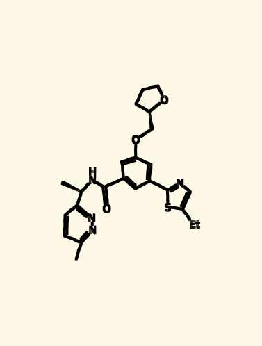 CCc1cnc(-c2cc(OC[C@H]3CCCO3)cc(C(=O)N[C@H](C)c3ccc(C)nn3)c2)s1